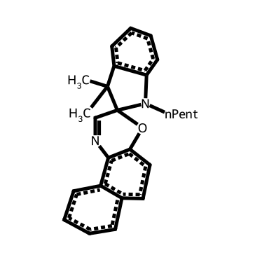 CCCCCN1c2ccccc2C(C)(C)C12C=Nc1c(ccc3ccccc13)O2